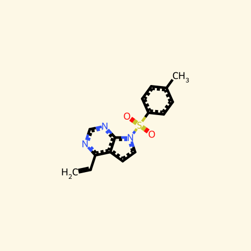 C=Cc1ncnc2c1ccn2S(=O)(=O)c1ccc(C)cc1